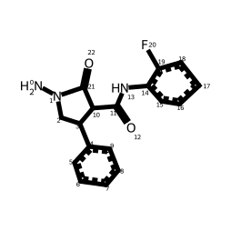 NN1CC(c2ccccc2)C(C(=O)Nc2ccccc2F)C1=O